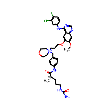 COc1cc2ncnc(Nc3ccc(F)c(Cl)c3)c2cc1OCCC[N+]1(Cc2ccc(NC(=O)[C@@H](C)CCCNC(N)=O)cc2)CCOCC1